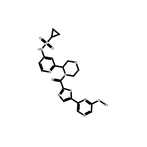 CCOc1cncc(-c2cnc(C(=O)N3CCOCC3c3cc(NS(=O)(=O)C4CC4)ccn3)s2)n1